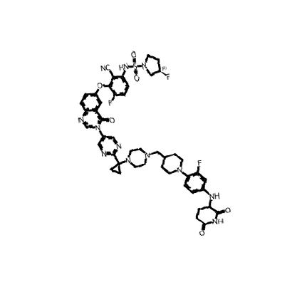 N#Cc1c(NS(=O)(=O)N2CC[C@@H](F)C2)ccc(F)c1Oc1ccc2ncn(-c3cnc(C4(N5CCN(CC6CCN(c7ccc(NC8CCC(=O)NC8=O)cc7F)CC6)CC5)CC4)nc3)c(=O)c2c1